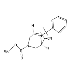 CC(C)(C)OC(=O)N1C[C@H]2C[C@@H](C#N)[C@@H](C1)N2C(C)(C)c1ccccc1